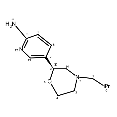 C[C](C)CN1CCO[C@@H](c2ccc(N)nc2)C1